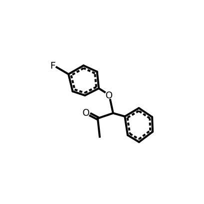 CC(=O)C(Oc1ccc(F)cc1)c1ccccc1